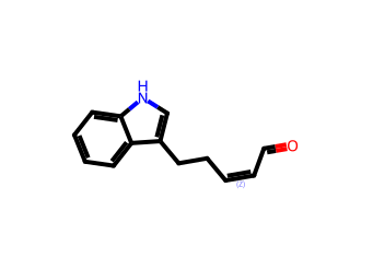 O=C/C=C\CCc1c[nH]c2ccccc12